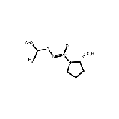 CC(=O)OC(C)ON=[N+]([O-])N1CCC[C@H]1C(=O)O